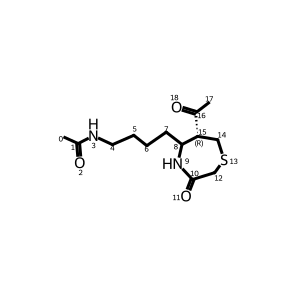 CC(=O)NCCCCC1NC(=O)CSC[C@H]1C(C)=O